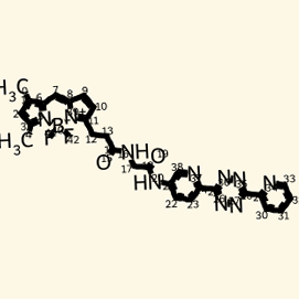 Cc1cc(C)n2c1C=C1C=CC(CCC(=O)NCC(=O)Nc3ccc(-c4nnc(-c5ccccn5)nn4)nc3)=[N+]1[B-]2(F)F